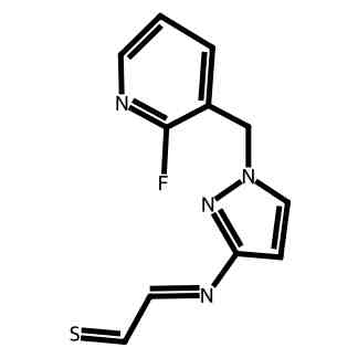 Fc1ncccc1Cn1ccc(N=CC=S)n1